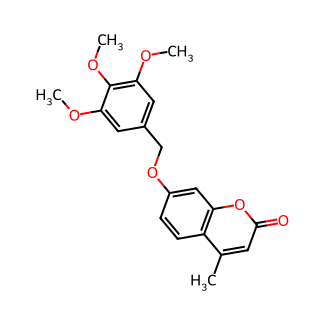 COc1cc(COc2ccc3c(C)cc(=O)oc3c2)cc(OC)c1OC